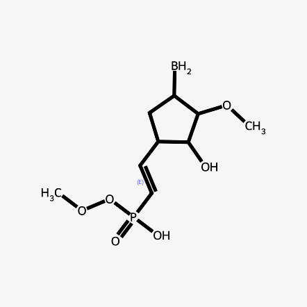 BC1CC(/C=C/P(=O)(O)OOC)C(O)C1OC